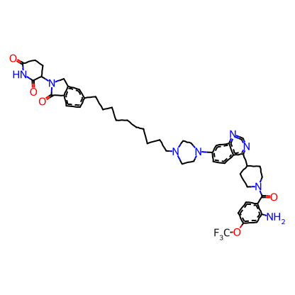 Nc1cc(OC(F)(F)F)ccc1C(=O)N1CCC(c2ncnc3cc(N4CCN(CCCCCCCCCCc5ccc6c(c5)CN(C5CCC(=O)NC5=O)C6=O)CC4)ccc23)CC1